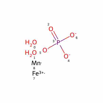 O.O.O=P([O-])([O-])[O-].[Fe+3].[Mn]